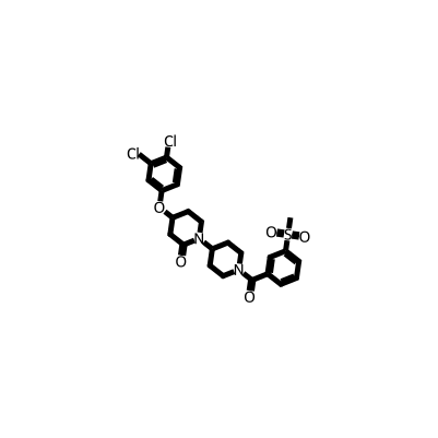 CS(=O)(=O)c1cccc(C(=O)N2CCC(N3CCC(Oc4ccc(Cl)c(Cl)c4)CC3=O)CC2)c1